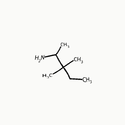 CCC(C)(C)C(C)N